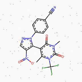 Cc1c(-c2c([N+](=O)[O-])cnn2-c2ccc(C#N)cc2)c(=O)n(C)c(=O)n1C(F)(F)F